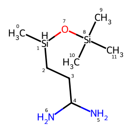 C[SiH](CCC(N)N)O[Si](C)(C)C